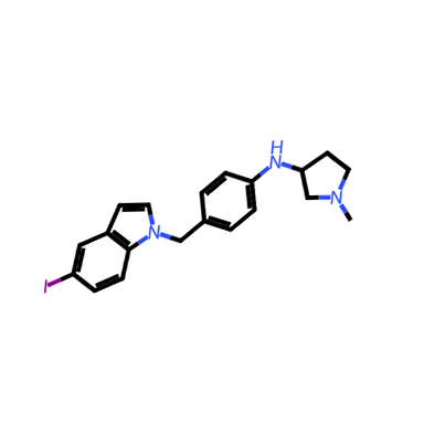 CN1CCC(Nc2ccc(Cn3ccc4cc(I)ccc43)cc2)C1